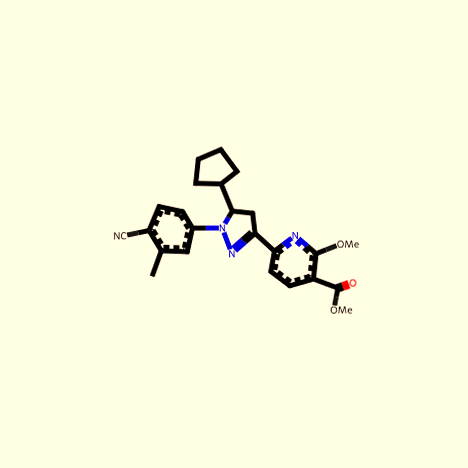 COC(=O)c1ccc(C2=NN(c3ccc(C#N)c(C)c3)C(C3CCCC3)C2)nc1OC